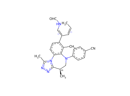 C/C=C\C(=C/NC=O)c1ccc2c(c1C)N(c1ccc(C#N)cc1)C[C@@H](C)c1nnc(C)n1-2